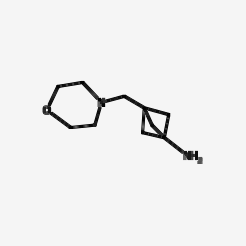 NC12CC(CN3CCOCC3)(C1)C2